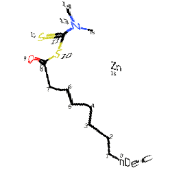 CCCCCCCCCCCCCCCCCC(=O)SC(=S)N(C)C.[Zn]